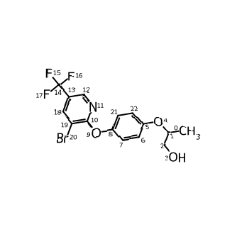 CC(CO)Oc1ccc(Oc2ncc(C(F)(F)F)cc2Br)cc1